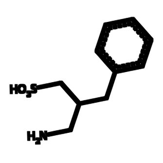 NCC(Cc1ccccc1)CS(=O)(=O)O